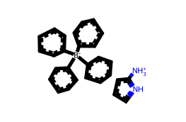 [NH3+]c1ccc[nH]1.c1ccc([B-](c2ccccc2)(c2ccccc2)c2ccccc2)cc1